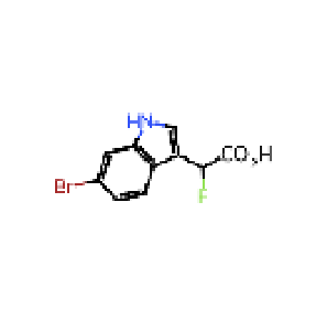 O=C(O)C(F)c1c[nH]c2cc(Br)ccc12